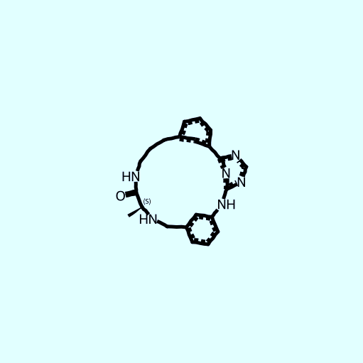 C[C@@H]1NCc2cccc(c2)Nc2ncnc(n2)-c2cccc(c2)CCCNC1=O